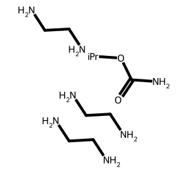 CC(C)OC(N)=O.NCCN.NCCN.NCCN